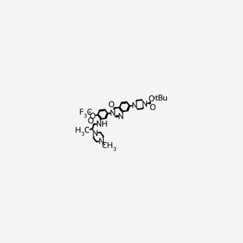 CC(C(=O)Nc1cc(-n2cnc3cc(N4CCN(C(=O)OC(C)(C)C)CC4)ccc3c2=O)ccc1OC(F)(F)F)N1CCN(C)CC1